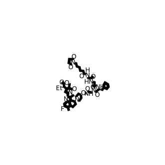 CC[C@@H]1C(=O)OCc2c1cc1n(c2=O)Cc2c-1nc1cc(F)c(C)c3c1c2[C@H](N1CCC(ONC(=O)CNC(=O)[C@H](Cc2ccccc2)NC(=O)CNC(=O)CNC(=O)CCCCCN2C(=O)C=CC2=O)CC1)CC3